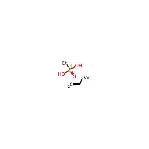 C=COC(C)=O.CC[SH](=O)(O)O